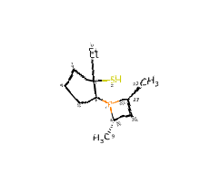 CCC1(S)CCCC1P1[C@@H](C)C[C@@H]1C